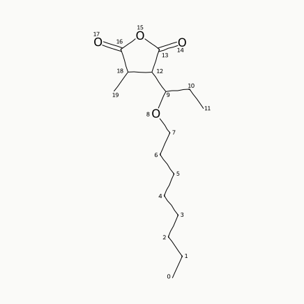 CCCCCCCCOC(CC)C1C(=O)OC(=O)C1C